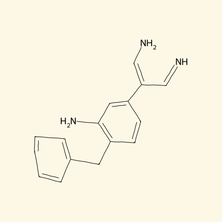 N=C/C(=C\N)c1ccc(Cc2ccccc2)c(N)c1